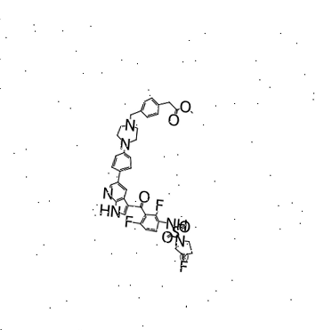 COC(=O)Cc1ccc(CN2CCN(c3ccc(-c4cnc5[nH]cc(C(=O)c6c(F)ccc(NS(=O)(=O)N7CC[C@@H](F)C7)c6F)c5c4)cc3)CC2)cc1